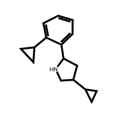 c1ccc(C2CC(C3CC3)CN2)c(C2CC2)c1